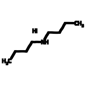 CCCCNCCCC.I